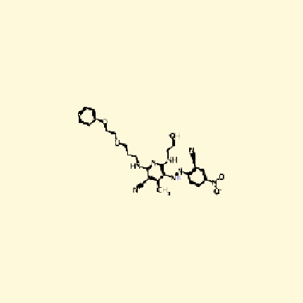 Cc1c(C#N)c(NCCCOCCOc2ccccc2)nc(NCCO)c1/N=N/c1ccc([N+](=O)[O-])cc1C#N